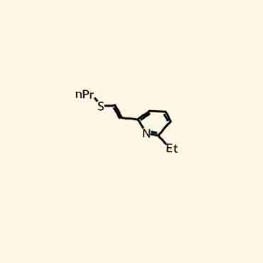 CCCS/C=C/c1cccc(CC)n1